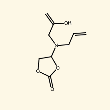 C=CCN(CC(=C)O)C1COC(=O)O1